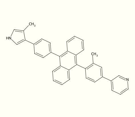 Cc1c[nH]cc1-c1ccc(-c2c3ccccc3c(-c3ccc(-c4cccnc4)cc3C)c3ccccc23)cc1